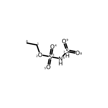 CCOS(=O)(=O)N[SH](=O)=O